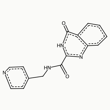 O=C(NCc1ccncc1)c1nc2ccccc2c(=O)[nH]1